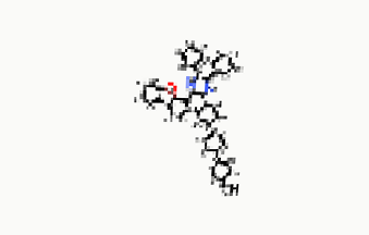 N#Cc1ccc(-c2ccc(-c3ccc(-c4nc(-c5ccccc5)c(-c5ccccc5)nc4-c4cccc5c4oc4ccccc45)cc3)cc2)cc1